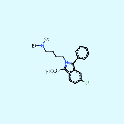 CCOC(=O)c1c2ccc(Cl)cc2c(-c2ccccc2)n1CCCCN(CC)CC